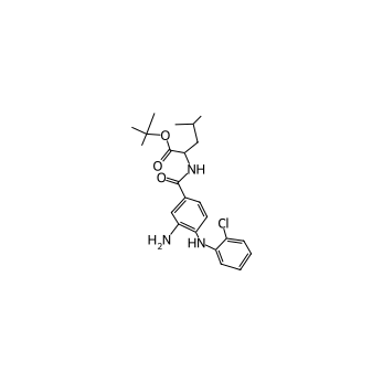 CC(C)CC(NC(=O)c1ccc(Nc2ccccc2Cl)c(N)c1)C(=O)OC(C)(C)C